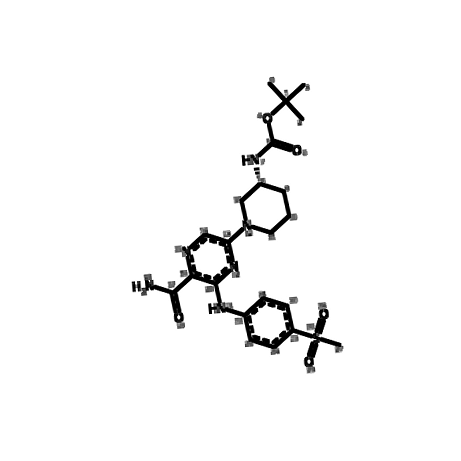 CC(C)(C)OC(=O)N[C@@H]1CCCN(c2cnc(C(N)=O)c(Nc3ccc(S(C)(=O)=O)cc3)n2)C1